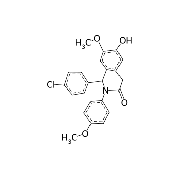 COc1ccc(N2C(=O)Cc3cc(O)c(OC)cc3C2c2ccc(Cl)cc2)cc1